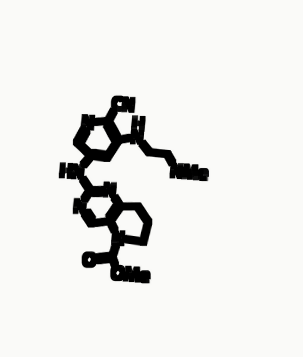 CNCCNc1cc(Nc2ncc3c(n2)CCCN3C(=O)OC)cnc1C#N